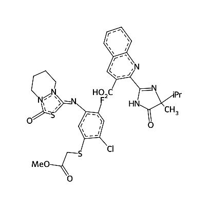 CC(C)C1(C)N=C(c2nc3ccccc3cc2C(=O)O)NC1=O.COC(=O)CSc1cc(/N=c2\sc(=O)n3n2CCCC3)c(F)cc1Cl